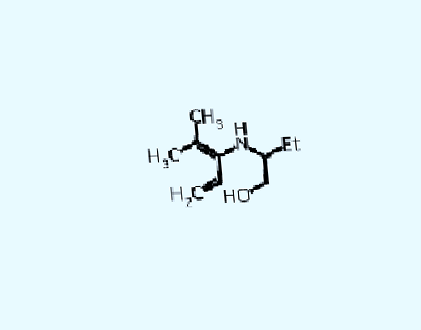 C=CC(NC(CC)CO)=C(C)C